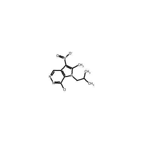 Cc1c([N+](=O)[O-])c2cnnc(Cl)c2n1CC(C)C